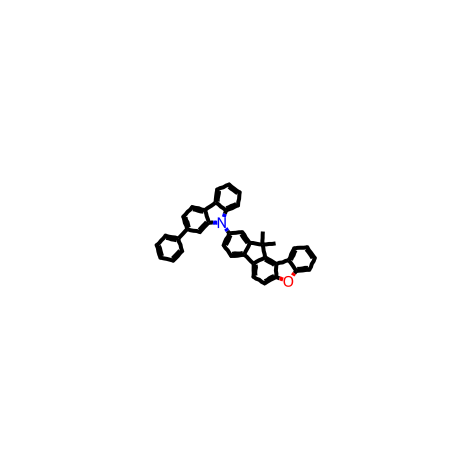 CC1(C)c2cc(-n3c4ccccc4c4ccc(-c5ccccc5)cc43)ccc2-c2ccc3oc4ccccc4c3c21